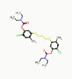 CCN(CC)C(=O)Oc1cc(SSSSSc2cc(OC(=O)N(CC)CC)c(Cl)cc2C)c(C)cc1Cl